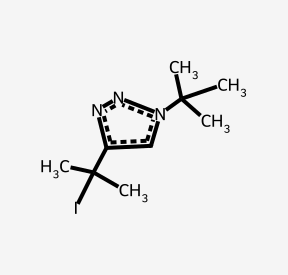 CC(C)(I)c1cn(C(C)(C)C)nn1